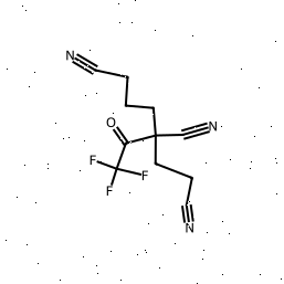 N#CCCCC(C#N)(CCC#N)C(=O)C(F)(F)F